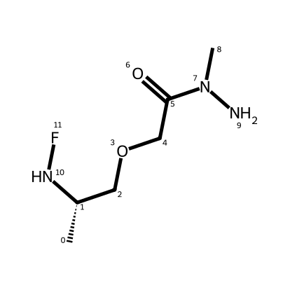 C[C@@H](COCC(=O)N(C)N)NF